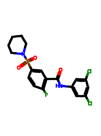 O=C(Nc1cc(Cl)cc(Cl)c1)c1cc(S(=O)(=O)N2CCCCC2)ccc1F